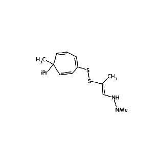 CNN/C=C(\C)SSC1=CC=CC(C)(C(C)C)C=C1